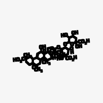 C[C@@H]1CC2C(=C[C@@H](O)[C@@H]3[C@@]4(C)CCC(OC5OC(O)(C(=O)O)C[C@H](O)[C@@H]5OC5OC(O)(C(=O)O)C[C@H](O)[C@@H]5O)C(C)(C)[C@@H]4CC[C@@]23C)C2C[C@@](C)(C(=O)O)CC[C@@]21C